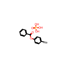 O=C(Oc1cc[c]([Na])cc1)c1ccccc1.O=P(O)(O)O